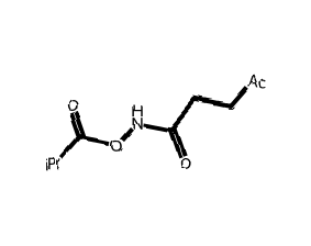 CC(=O)CCC(=O)NOC(=O)C(C)C